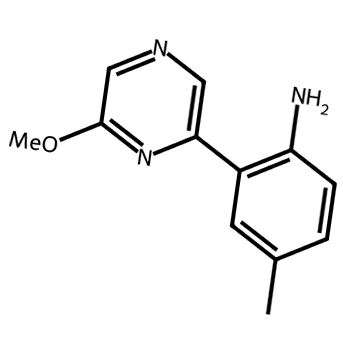 COc1cncc(-c2cc(C)ccc2N)n1